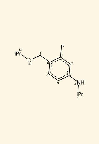 Cc1cc(NC(C)C)ccc1COC(C)C